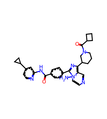 N[N+]12C=CN=CC1=C(C1CCCN(C(=O)C3CCC3)C1)N=C2c1ccc(C(=O)Nc2cc(C3CC3)ccn2)cc1